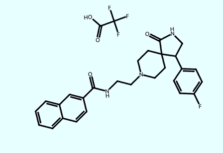 O=C(NCCN1CCC2(CC1)C(=O)NCC2c1ccc(F)cc1)c1ccc2ccccc2c1.O=C(O)C(F)(F)F